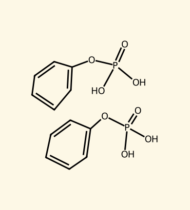 O=P(O)(O)Oc1ccccc1.O=P(O)(O)Oc1ccccc1